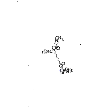 CCCCC/C=C\C(CCCC)COC(=O)CCCCCCCCC(CCCCCCCCCC)OC(=O)C1CCN(C)CC1